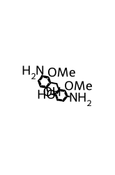 COc1c(N)ccc(O)c1Cc1c(O)ccc(N)c1OC